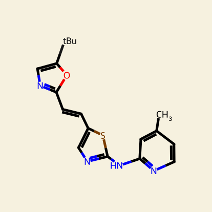 Cc1ccnc(Nc2ncc(/C=C/c3ncc(C(C)(C)C)o3)s2)c1